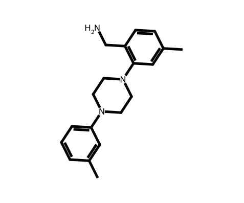 Cc1cccc(N2CCN(c3cc(C)ccc3CN)CC2)c1